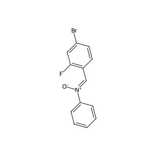 [O-][N+](=Cc1ccc(Br)cc1F)c1ccccc1